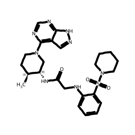 C[C@H]1CCN(c2ncnc3[nH]ncc23)C[C@@H]1NC(=O)CNc1ccccc1S(=O)(=O)N1CCCCC1